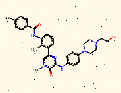 Cc1c(NC(=O)c2ccc(C(C)(C)C)cc2)cccc1-c1cn(C)c(=O)c(Nc2ccc(N3CCN(CCO)CC3)cc2)n1